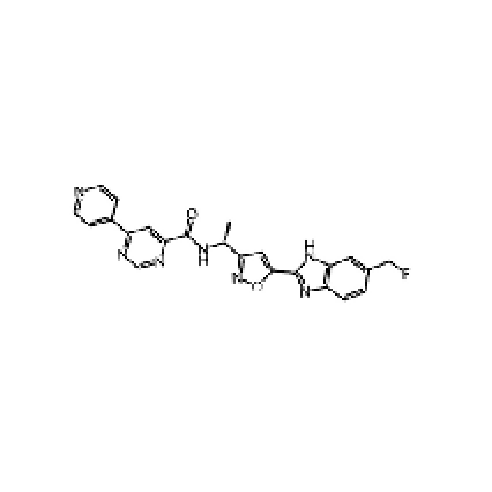 C[C@H](NC(=O)c1cc(-c2ccncc2)ncn1)c1cc(-c2nc3ccc(CF)cc3[nH]2)on1